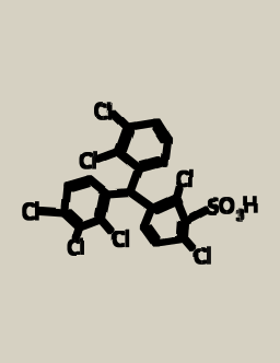 O=S(=O)(O)c1c(Cl)ccc(C(c2cccc(Cl)c2Cl)c2ccc(Cl)c(Cl)c2Cl)c1Cl